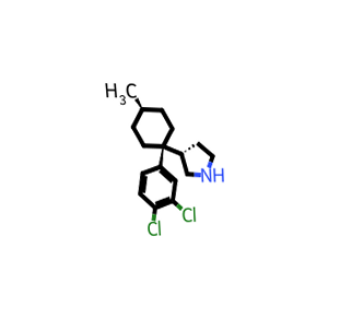 C[C@H]1CC[C@](c2ccc(Cl)c(Cl)c2)([C@@H]2CCNC2)CC1